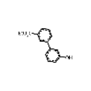 CCOC(=O)c1cccc(-c2cccc(O)c2)c1